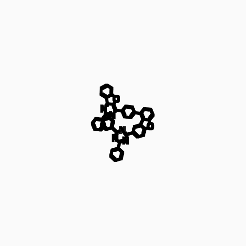 c1ccc(-c2nc(-c3ccccc3)nc(-c3ccc4oc5cccc(-c6ccc(-c7nc(-c8ccccc8)nc8c7oc7ccccc78)cc6)c5c4c3)n2)cc1